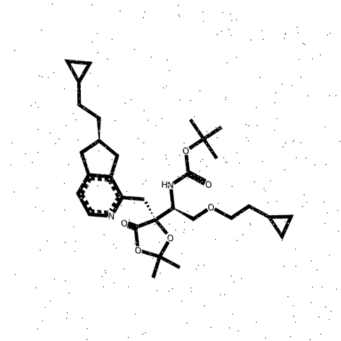 CC(C)(C)OC(=O)N[C@@H](COCCC1CC1)[C@@]1(Cc2nccc3c2C[C@H](CCC2CC2)C3)OC(C)(C)OC1=O